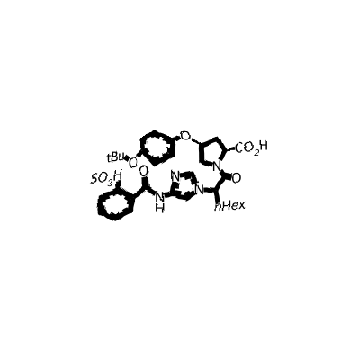 CCCCCCC(C(=O)N1C[C@@H](Oc2ccc(OC(C)(C)C)cc2)C[C@H]1C(=O)O)n1cnc(NC(=O)c2ccccc2S(=O)(=O)O)c1